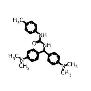 Cc1ccc(NC(=O)NC(c2ccc(N(C)C)cc2)c2ccc(N(C)C)cc2)cc1